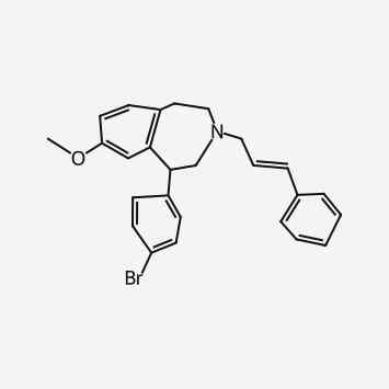 COc1ccc2c(c1)C(c1ccc(Br)cc1)CN(C/C=C/c1ccccc1)CC2